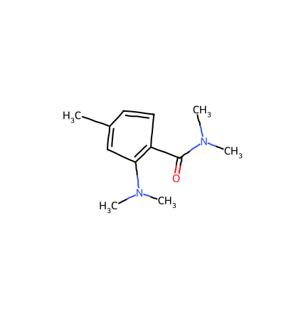 Cc1ccc(C(=O)N(C)C)c(N(C)C)c1